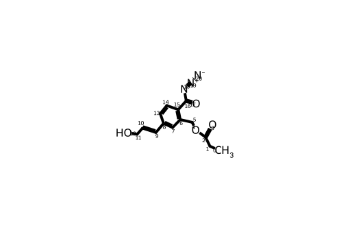 CCC(=O)OCc1cc(/C=C/CO)ccc1C(=O)N=[N+]=[N-]